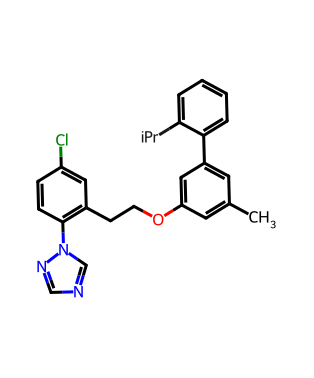 Cc1cc(OCCc2cc(Cl)ccc2-n2cncn2)cc(-c2ccccc2C(C)C)c1